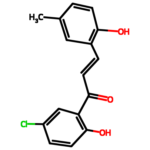 Cc1ccc(O)c(C=CC(=O)c2cc(Cl)ccc2O)c1